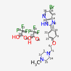 CN1CCN(CCOc2ccc(-c3nc4cc(Br)cnc4[nH]3)cc2)CC1.O=C(O)C(F)(F)F.O=C(O)C(F)(F)F